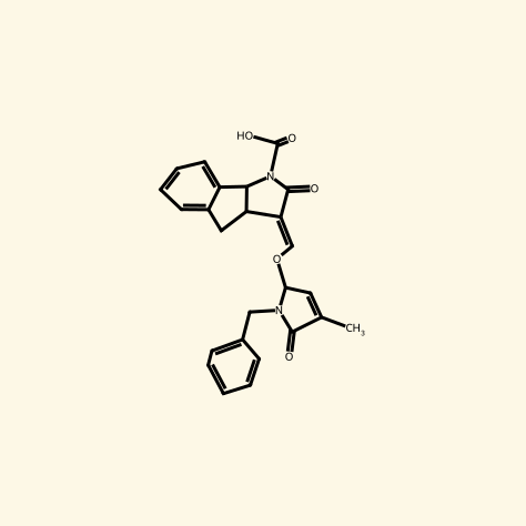 CC1=CC(O/C=C2/C(=O)N(C(=O)O)C3c4ccccc4CC23)N(Cc2ccccc2)C1=O